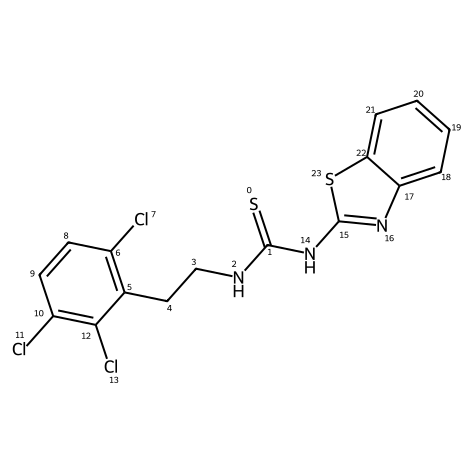 S=C(NCCc1c(Cl)ccc(Cl)c1Cl)Nc1nc2ccccc2s1